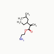 C=C(C(=O)OCCN)C(CC)CC(C)C